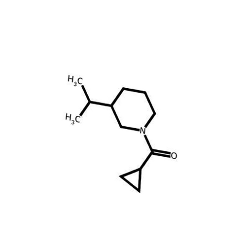 CC(C)C1CCCN(C(=O)C2CC2)C1